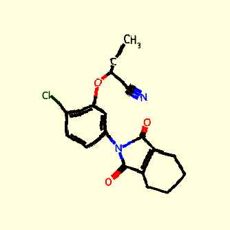 CCC(C#N)Oc1cc(N2C(=O)C3=C(CCCC3)C2=O)ccc1Cl